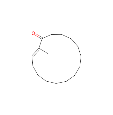 C/C1=C\CCCCCCCCCCCCC1=O